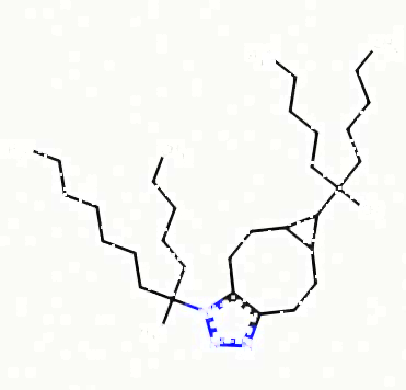 CCCCCCCC(C)(CCCCC)n1nnc2c1CCC1C(CC2)C1C(C)(CCCCC)CCCCC